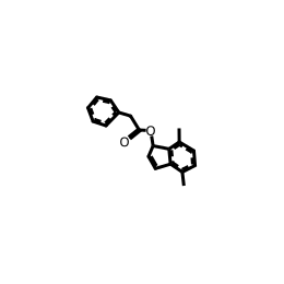 Cc1ccc(C)c2c1C=CC2OC(=O)Cc1ccccc1